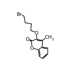 Cc1c(OCCCCBr)c(=O)oc2ccccc12